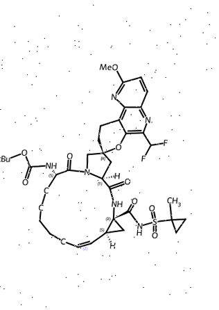 COc1ccc2nc(C(F)F)c3c(c2n1)CC[C@]1(C[C@H]2C(=O)N[C@]4(C(=O)NS(=O)(=O)C5(C)CC5)C[C@H]4/C=C\CCCCC[C@H](NC(=O)OC(C)(C)C)C(=O)N2C1)O3